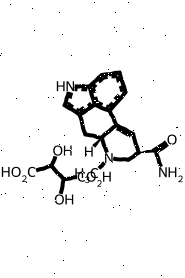 CN1C[C@H](C(N)=O)C=C2c3cccc4[nH]cc(c34)C[C@H]21.O=C(O)C(O)C(O)C(=O)O